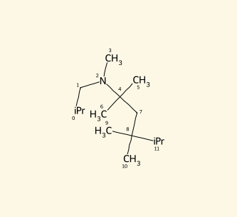 CC(C)CN(C)C(C)(C)CC(C)(C)C(C)C